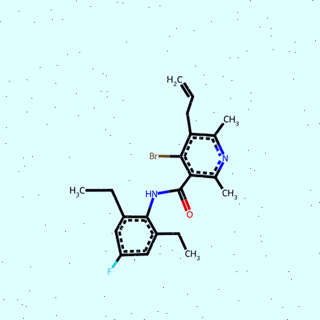 C=CCc1c(C)nc(C)c(C(=O)Nc2c(CC)cc(F)cc2CC)c1Br